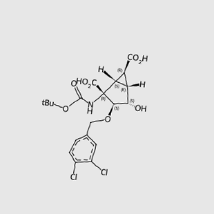 CC(C)(C)OC(=O)N[C@]1(C(=O)O)[C@@H]2[C@@H](C(=O)O)[C@@H]2[C@H](O)[C@H]1OCc1ccc(Cl)c(Cl)c1